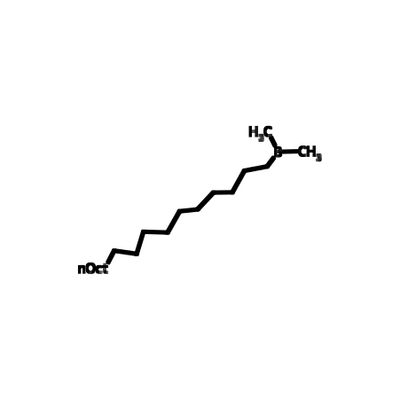 CCCCCCCCCCCCCCCCCCB(C)C